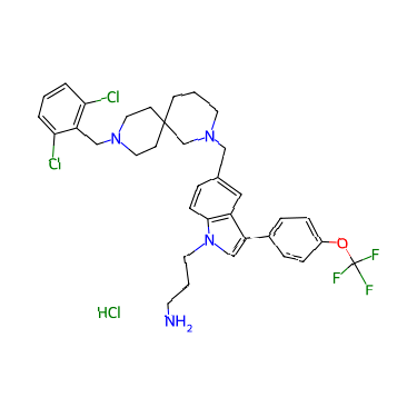 Cl.NCCCn1cc(-c2ccc(OC(F)(F)F)cc2)c2cc(CN3CCCC4(CCN(Cc5c(Cl)cccc5Cl)CC4)C3)ccc21